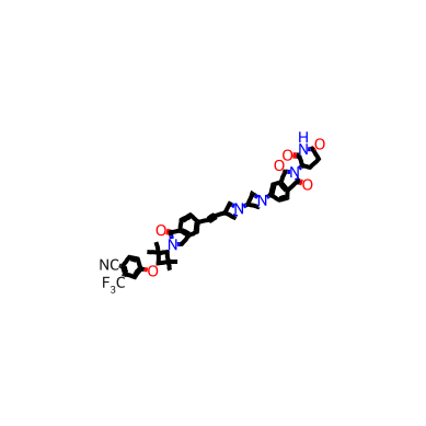 CC1(C)[C@H](Oc2ccc(C#N)c(C(F)(F)F)c2)C(C)(C)[C@H]1N1Cc2cc(C#CC3CN(C4CN(c5ccc6c(c5)C(=O)N(C5CCC(=O)NC5=O)C6=O)C4)C3)ccc2C1=O